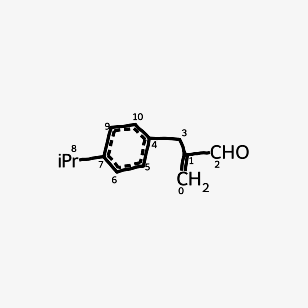 C=C(C=O)Cc1ccc(C(C)C)cc1